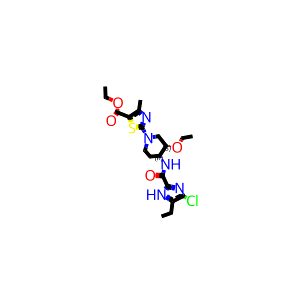 CCOC(=O)c1sc(N2CC[C@@H](NC(=O)c3nc(Cl)c(CC)[nH]3)[C@@H](OCC)C2)nc1C